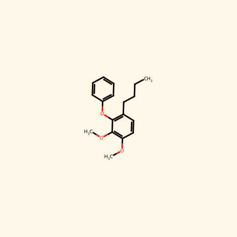 CCCCc1ccc(OC)c(OC)c1Oc1ccccc1